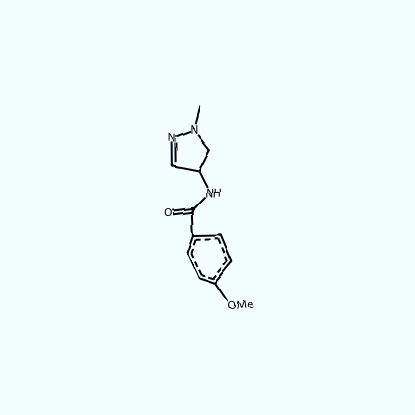 COc1ccc(C(=O)NC2C=NN(C)C2)cc1